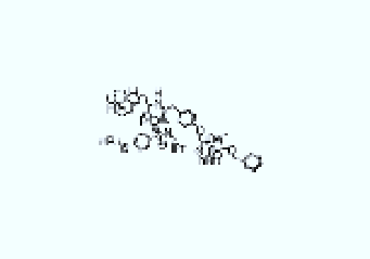 CCCCOc1ccc(S(=O)(=O)N(CC(C)C)C[C@@H](O)[C@H](Cc2ccc(OCP(=O)(OCCCC)O[C@@H](C)C(=O)OCc3ccccc3)cc2)NC(=O)O[C@H]2CO[C@H]3OCC[C@H]32)cc1